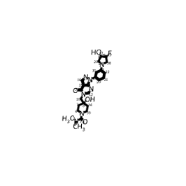 CN(C)C(=O)N1CCC(O)(Cn2cnc3c(cnn3-c3cccc(N4C[C@@H](O)[C@H](F)C4)c3)c2=O)CC1